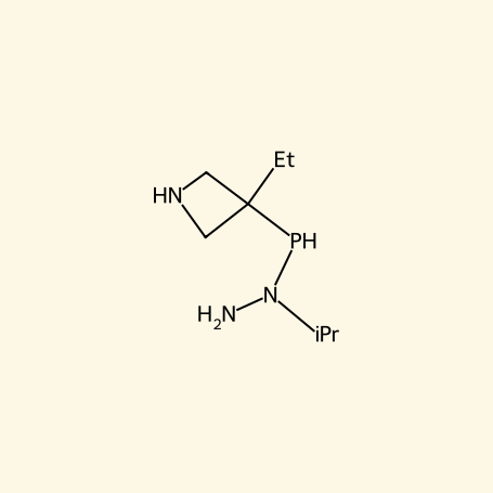 CCC1(PN(N)C(C)C)CNC1